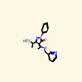 C/C(NCc1cccnc1)=C1/C(=O)N(c2ccccc2)N=C1C(C)C(=O)O